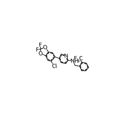 FC1(F)Oc2cc(Cl)c(-c3ccc(NCc4ccccc4C(F)(F)F)nc3)cc2O1